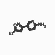 CCc1cc(-c2ccc(N)nc2)no1